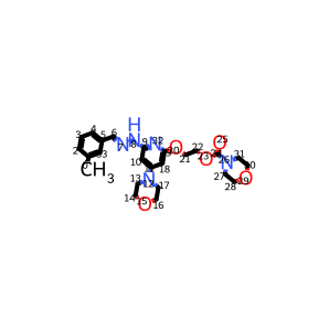 Cc1cccc(C=NNc2cc(N3CCOCC3)cc(OCCOC(=O)N3CCOCC3)n2)c1